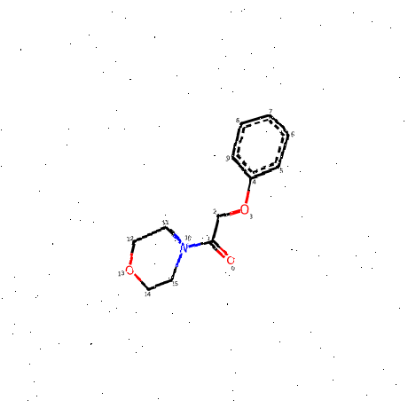 O=C(COc1cc[c]cc1)N1CCOCC1